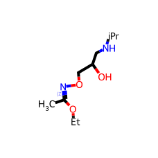 CCO/C(C)=N\OCC(O)CNC(C)C